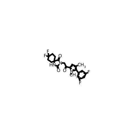 Cc1cc(C(=O)CN2C(=O)NC3(CCC(F)(F)CC3)C2=O)n(C)c1-c1cc(F)cc(F)c1